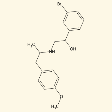 COc1ccc(CC(C)NCC(O)c2cccc(Br)c2)cc1